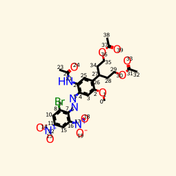 COc1cc(N=Nc2c(Br)cc([N+](=O)[O-])cc2[N+](=O)[O-])c(NC(C)=O)cc1C(CCOC(C)=O)CCOC(C)=O